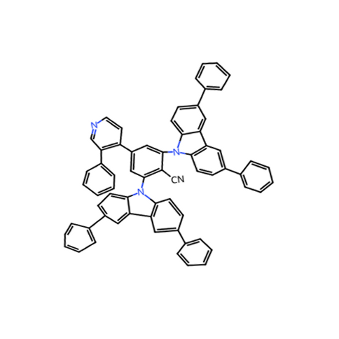 N#Cc1c(-n2c3ccc(-c4ccccc4)cc3c3cc(-c4ccccc4)ccc32)cc(-c2ccncc2-c2ccccc2)cc1-n1c2ccc(-c3ccccc3)cc2c2cc(-c3ccccc3)ccc21